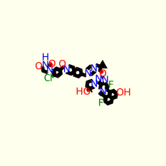 C#Cc1c(F)ccc2cc(O)cc(-c3ncc4c(N5CCC[C@@](C)(O)C5)nc(OCC5(CN6CCN(CC7CCC8(CC7)CCN(C(=O)c7ccc(Cl)c(N9CCC(=O)NC9=O)c7)CC8)CC6)CC5)nc4c3F)c12